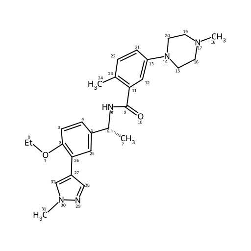 CCOc1ccc([C@@H](C)NC(=O)c2cc(N3CCN(C)CC3)ccc2C)cc1-c1cnn(C)c1